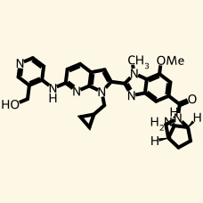 COc1cc(C(=O)N2C[C@H]3CC[C@@H]2[C@@H]3N)cc2nc(-c3cc4ccc(Nc5ccncc5CO)nc4n3CC3CC3)n(C)c12